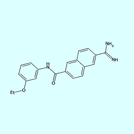 CCOc1cccc(NC(=O)c2ccc3cc(C(=N)N)ccc3c2)c1